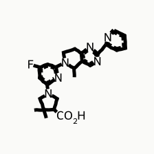 CC1c2cnc(-c3ccccn3)nc2CCN1c1cc(F)cc(N2CC(C(=O)O)C(C)(C)C2)n1